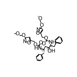 COCOc1cc(COC(=O)N[C@@H](Cc2ccccc2)C[C@H](O)[C@H](Cc2ccccc2)NC(=O)OCc2cc(OCOC)no2)on1